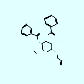 C=CCO[C@H]1O[C@H](CO)[C@@H](OC(=O)c2ccccc2)[C@H](OC(=O)c2ccccc2)[C@@H]1NC(C)=O